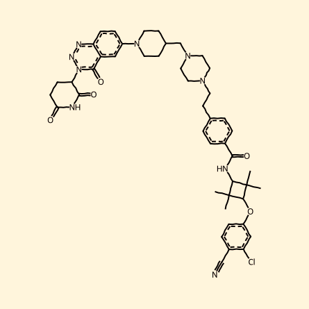 CC1(C)C(NC(=O)c2ccc(CCN3CCN(CC4CCN(c5ccc6nnn(C7CCC(=O)NC7=O)c(=O)c6c5)CC4)CC3)cc2)C(C)(C)C1Oc1ccc(C#N)c(Cl)c1